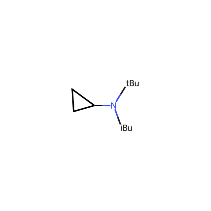 CCC(C)N(C1CC1)C(C)(C)C